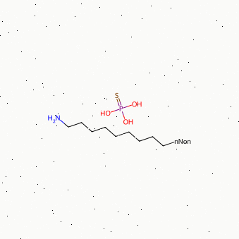 CCCCCCCCCCCCCCCCCCN.OP(O)(O)=S